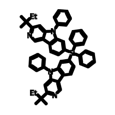 CCC(C)(C)c1cc2c(cn1)c1ccc([Si](c3ccccc3)(c3ccccc3)c3ccc4c5cnc(C(C)(C)CC)cc5n(-c5ccccc5)c4c3)cc1n2-c1ccccc1